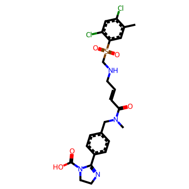 Cc1cc(S(=O)(=O)CNCC=CC(=O)N(C)Cc2ccc(C3=NCCN3C(=O)O)cc2)c(Cl)cc1Cl